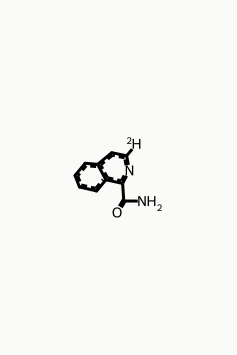 [2H]c1cc2ccccc2c(C(N)=O)n1